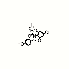 CNC(=O)N1c2c(O)cc(O)cc2OCC1c1ccc(O)cc1